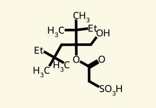 CCC(C)(C)CC(CO)(OC(=O)CS(=O)(=O)O)C(C)(C)CC